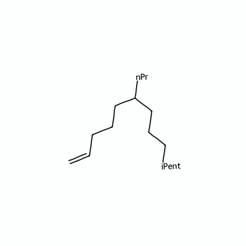 C=CCCCC(CCC)CCCC(C)CCC